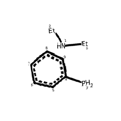 CCNCC.Pc1ccccc1